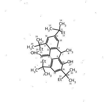 CCC(C)(C)c1cc(C(C)c2cc(C(C)(C)CC)cc(C(C)(C)CC)c2C=C[C]=O)c(O)c(C(C)(C)CC)c1